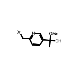 COC(C)(O)c1ccc(CBr)nc1